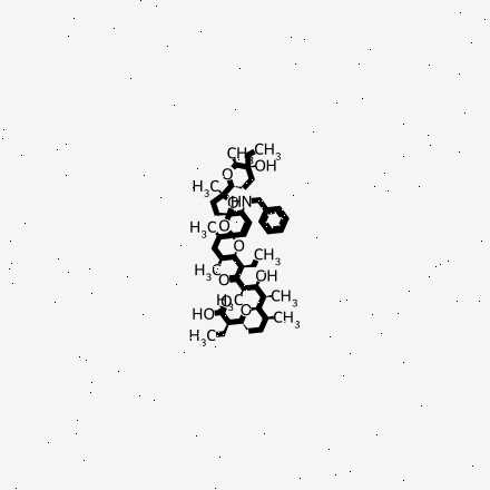 CC[C@@H](C(=O)[C@@H](C)[C@@H](O)[C@H](C)[C@@H]1O[C@@H]([C@@H](CC)C(=O)O)CC[C@@H]1C)[C@H]1O[C@]2(C=C[C@@H](NCc3ccccc3)[C@]3(CC[C@@](C)([C@H]4CC[C@](O)(CC)[C@H](C)O4)O3)O2)[C@H](C)C[C@@H]1C